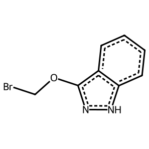 BrCOc1n[nH]c2ccccc12